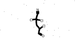 N#CC(Cl)(Cl)CC(Cl)C=O